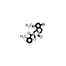 COc1ccc(Br)c2c1C(CN(C=O)C(=O)c1ccccc1C)N(C=O)CC2